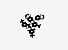 Cc1cc(C(C)(C)C)cc(C)c1N1c2cc(C(C)C)cc3c2B(c2cc4c(cc2N3c2ccc3c(c2)OCCO3)OCCO4)c2c1oc1ccc(C(C)(C)C)cc21